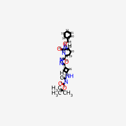 C/C(=N\C(=O)OC(C)(C)C)N[C@H]1C[C@@H](c2nnc([C@@H]3CC[C@@H]4CN3C(=O)N4OCc3ccccc3)o2)C1